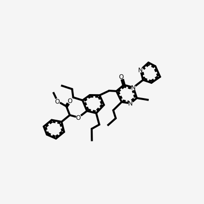 CCCc1cc(Cc2c(CCC)nc(C)n(-c3ccccn3)c2=O)cc(CCC)c1OC(C(=O)OC)c1ccccc1